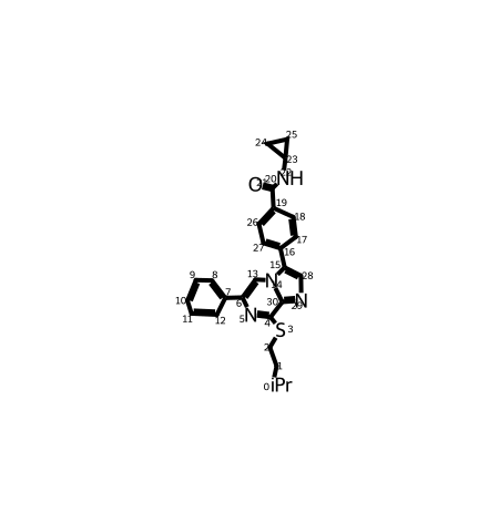 CC(C)CCSc1nc(-c2ccccc2)cn2c(-c3ccc(C(=O)NC4CC4)cc3)cnc12